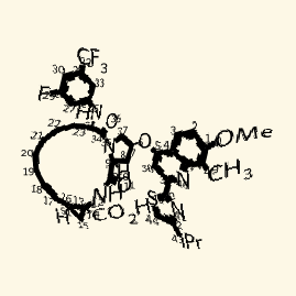 COc1ccc2c(O[C@@H]3C[C@H]4C(=O)N[C@]5(C(=O)O)C[C@H]5/C=C\CCCCC[C@H](Nc5cc(F)cc(C(F)(F)F)c5)C(=O)N4C3)cc(-c3nc(C(C)C)cs3)nc2c1C